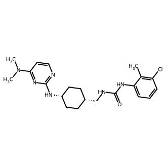 Cc1c(Cl)cccc1NC(=O)NC[C@H]1CC[C@@H](Nc2nccc(N(C)C)n2)CC1